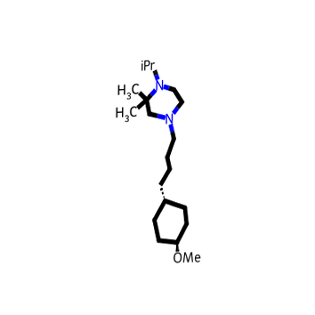 CO[C@H]1CC[C@H](CCCCN2CCN(C(C)C)C(C)(C)C2)CC1